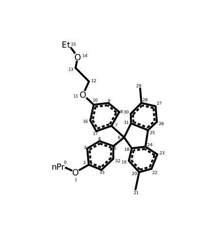 CCCOc1ccc(C2(c3ccc(OCCOCC)cc3)c3cc(C)ccc3-c3ccc(C)cc32)cc1